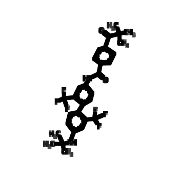 CC(C)(C)Nc1ccc(-c2ccc(NC(=O)c3ccc(C(=O)C(C)(C)C)cc3)cc2C(F)(F)F)c(C(F)(F)F)c1